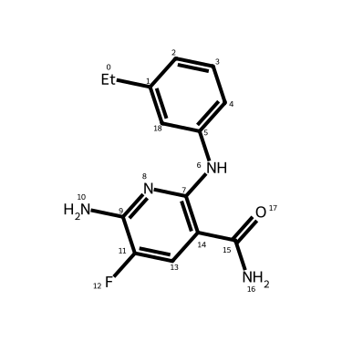 CCc1cccc(Nc2nc(N)c(F)cc2C(N)=O)c1